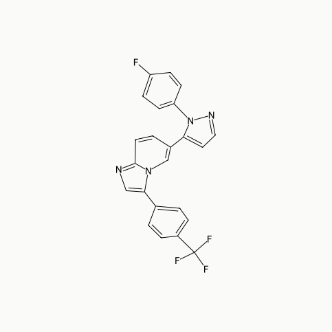 Fc1ccc(-n2nccc2-c2ccc3ncc(-c4ccc(C(F)(F)F)cc4)n3c2)cc1